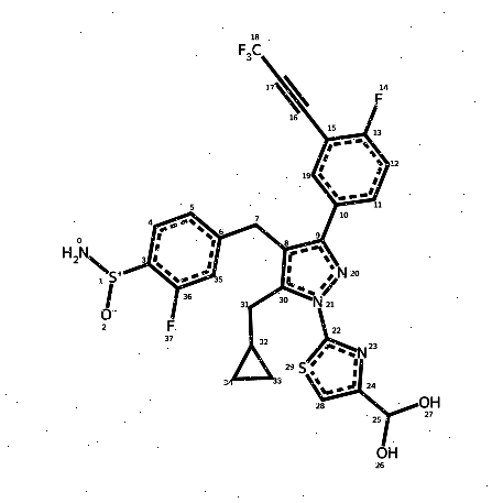 N[S+]([O-])c1ccc(Cc2c(-c3ccc(F)c(C#CC(F)(F)F)c3)nn(-c3nc(C(O)O)cs3)c2CC2CC2)cc1F